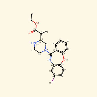 CCOC(=O)C(C)[C@H]1CN(C2=Nc3cc(I)ccc3Oc3ccccc32)CCN1